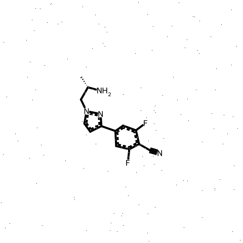 C[C@H](N)Cn1ccc(-c2cc(F)c(C#N)c(F)c2)n1